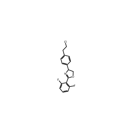 Fc1cccc(F)c1C1=NC(c2ccc(CCCl)cc2)CO1